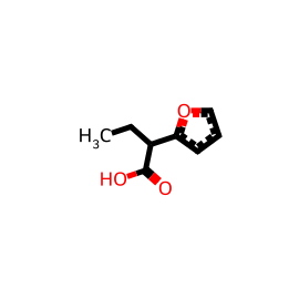 CCC(C(=O)O)c1ccco1